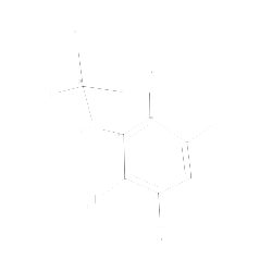 Fc1[c]c(F)c(F)c(OC(F)(F)F)c1F